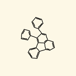 c1ccc(-c2cc3cccc4c3c(c2-c2ccccc2)-c2ccccc2-4)cc1